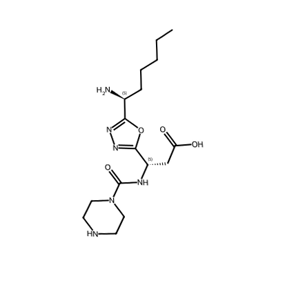 CCCCC[C@H](N)c1nnc([C@H](CC(=O)O)NC(=O)N2CCNCC2)o1